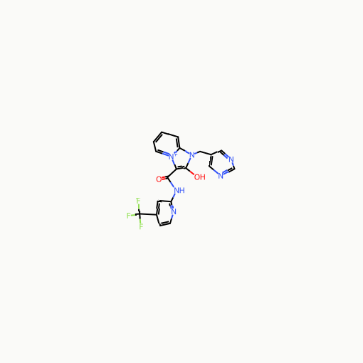 O=C(Nc1cc(C(F)(F)F)ccn1)c1c(O)n(Cc2cncnc2)c2cccc[n+]12